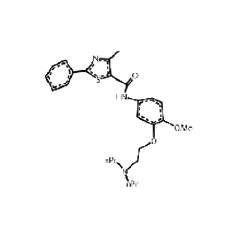 CCCN(CCC)CCOc1cc(NC(=O)c2sc(-c3ccccc3)nc2C)ccc1OC